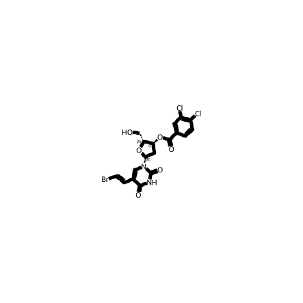 O=C(O[C@H]1C[C@H](n2cc(C=CBr)c(=O)[nH]c2=O)O[C@@H]1CO)c1ccc(Cl)c(Cl)c1